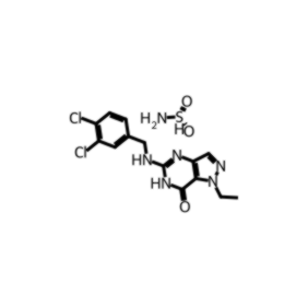 CCn1ncc2nc(NCc3ccc(Cl)c(Cl)c3)[nH]c(=O)c21.N[SH](=O)=O